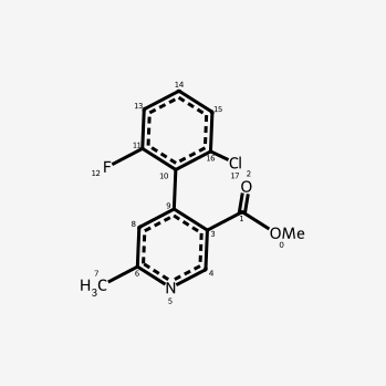 COC(=O)c1cnc(C)cc1-c1c(F)cccc1Cl